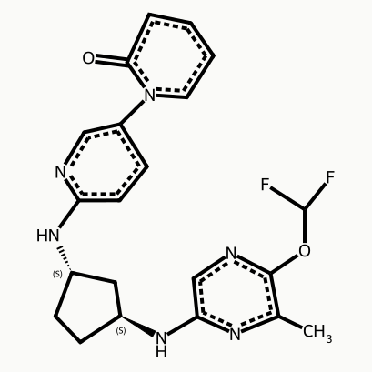 Cc1nc(N[C@H]2CC[C@H](Nc3ccc(-n4ccccc4=O)cn3)C2)cnc1OC(F)F